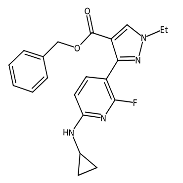 CCn1cc(C(=O)OCc2ccccc2)c(-c2ccc(NC3CC3)nc2F)n1